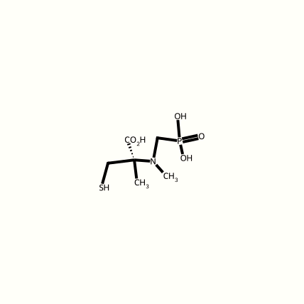 CN(CP(=O)(O)O)[C@@](C)(CS)C(=O)O